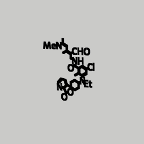 CCN(c1cc(Cl)cc(C(=O)NC/C(C=O)=C(C)/C=C(/C)NC)c1C)C1CCC2(CC1)OC(=O)c1ncccc12